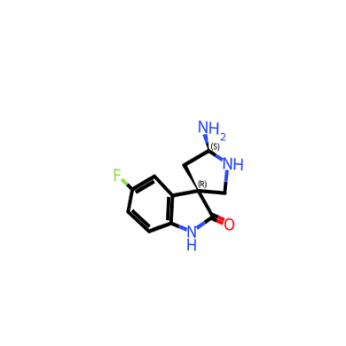 N[C@@H]1C[C@@]2(CN1)C(=O)Nc1ccc(F)cc12